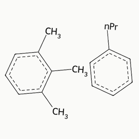 CCCc1ccccc1.Cc1cccc(C)c1C